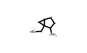 CCCCCC12CC1CCC2N